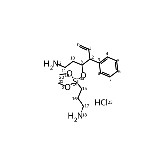 C=CC(c1ccccc1)C(CCN)O[Si](CCCN)(OC)OC.Cl